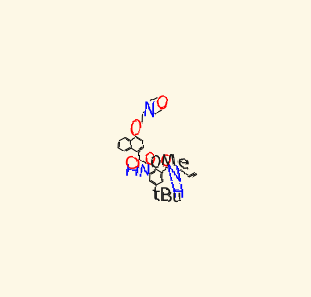 C=CCNC(=O)c1cc(C(C)(C)C)cc(NC(=O)C(=O)c2ccc(OCCN3CCOCC3)c3ccccc23)c1OC